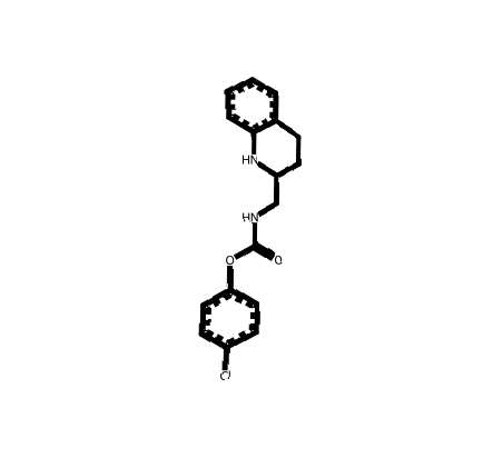 O=C(NCC1CCc2ccccc2N1)Oc1ccc(Cl)cc1